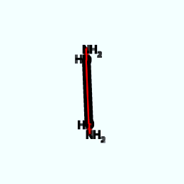 NCCCCCCCCCCCCNC(=O)OCCOCCOCCOCCOCCOCCOCCOCCOCCOCCOCCOCCOCCOCCOCCOCCOCCOCCOCCOCCOCCOCCOCCOCCOCCOCCOCCOCCOC(=O)NCCCCCCCCCCCCN